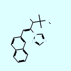 CCOC(C)(C)C(O)C(=Cc1ccc2ccccc2c1)n1cncn1